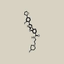 O=C(NCCCN1CCC(F)CC1)c1ccc2c(c1)sc1nc(-c3ccc(C4CCCO4)cc3F)cn12